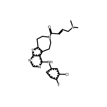 CN(C)CC=CC(=O)N1CCc2sc3ncnc(Nc4ccc(F)c(Cl)c4)c3c2CC1